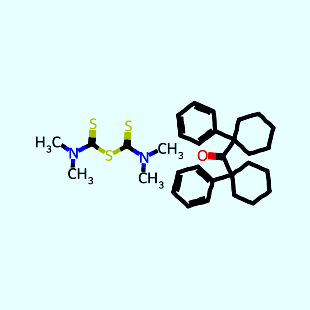 CN(C)C(=S)SC(=S)N(C)C.O=C(C1(c2ccccc2)CCCCC1)C1(c2ccccc2)CCCCC1